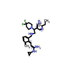 C=C(CC)/N=C\C(=C/N)C(CNCc1cccc(=C)/c1=C\C=C(/N)NC1CC1)N1CCC(F)(F)CC1